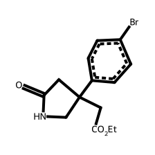 CCOC(=O)CC1(c2ccc(Br)cc2)CNC(=O)C1